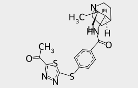 CC(=O)c1nnc(Sc2ccc(C(=O)N[C@@H]3C4CCN(CC4)[C@H]3C)cc2)s1